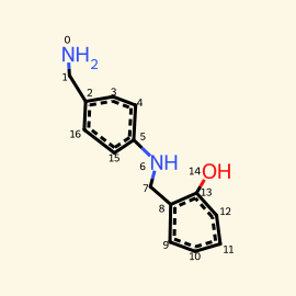 NCc1ccc(NCc2ccccc2O)cc1